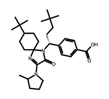 CC1CCCN1C1=NC2(CCC(C(C)(C)C)CC2)N([C@H](CCC(C)(C)C)c2ccc(C(=O)O)cc2)C1=O